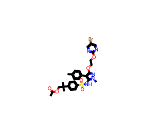 CC(=O)OCC(C)(C)c1ccc(S(=O)(=O)Nc2c(-c3ccc(C)cc3)c(OCCOc3ncc(Br)cn3)nn2C)cc1